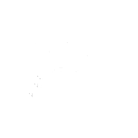 O=C(O)C(=O)O.[Na+].[Na+].[Na+].[O-]B([O-])[O-]